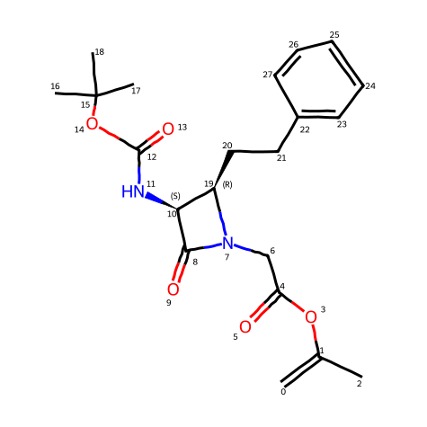 C=C(C)OC(=O)CN1C(=O)[C@@H](NC(=O)OC(C)(C)C)[C@H]1CCc1ccccc1